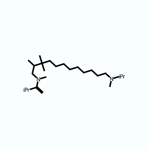 C=C(C(C)C)N(C)CC(C)C(C)(C)CCCCCCCCCN(C)C(C)C